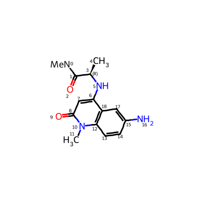 CNC(=O)[C@@H](C)Nc1cc(=O)n(C)c2ccc(N)cc12